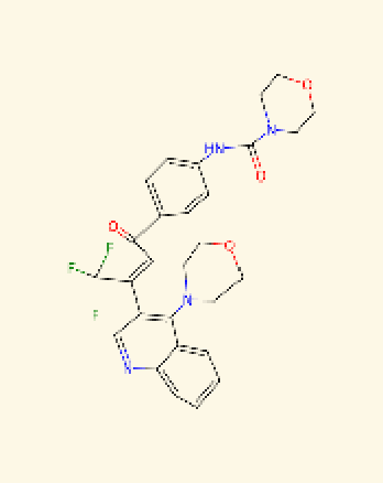 O=C(C=C(c1cnc2ccccc2c1N1CCOCC1)C(F)(F)F)c1ccc(NC(=O)N2CCOCC2)cc1